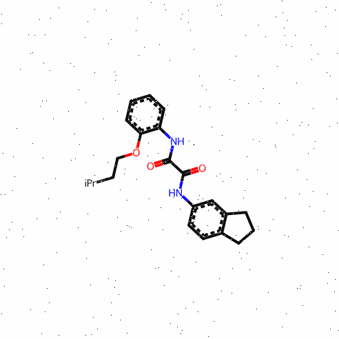 CC(C)CCOc1ccccc1NC(=O)C(=O)Nc1ccc2c(c1)CCC2